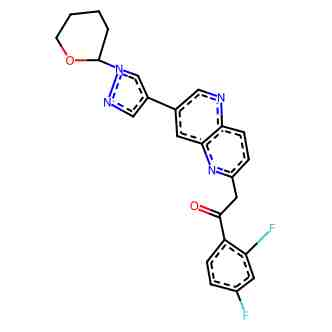 O=C(Cc1ccc2ncc(-c3cnn(C4CCCCO4)c3)cc2n1)c1ccc(F)cc1F